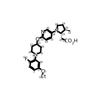 CCOc1ccc(F)c(N2CCC(Oc3ccc(N4CC[C@@H](C)[C@@H]4CC(=O)O)cn3)CC2)c1